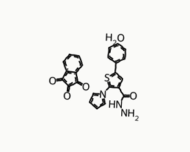 NNC(=O)c1cc(-c2ccccc2)sc1-n1cccc1.O.O=c1c(=O)c2ccccc2c1=O